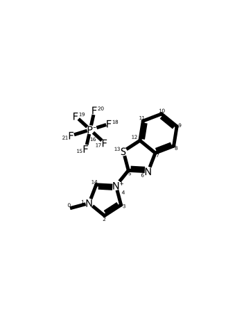 Cn1cc[n+](-c2nc3ccccc3s2)c1.F[P-](F)(F)(F)(F)F